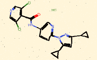 Cl.O=C(Nc1ccc(-n2nc(C3CC3)cc2C2CC2)nc1)c1c(Cl)cncc1Cl